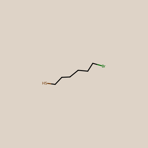 SCCCCCCBr